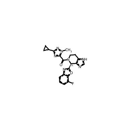 Cn1nc(C2CC2)nc1C(=O)N1CCc2[nH]cnc2[C@H]1c1nc2cccc(F)c2o1